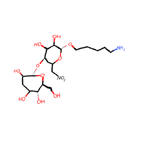 NCCCCCO[C@@H]1OC(C[N+](=O)[O-])[C@@H](O[C@@H]2OC(CO)[C@H](O)C(O)CC2O)C(O)C1O